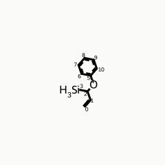 C=CC([SiH3])Oc1ccccc1